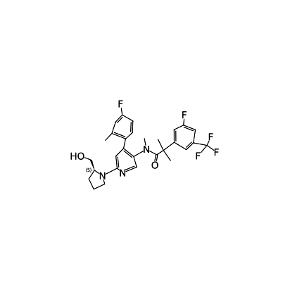 Cc1cc(F)ccc1-c1cc(N2CCC[C@H]2CO)ncc1N(C)C(=O)C(C)(C)c1cc(F)cc(C(F)(F)F)c1